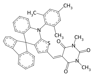 Cc1cc(C)c(N2c3ccccc3C3(c4ccccc4-c4ccccc43)c3cc(C=C4C(=O)N(C)C(=O)N(C)C4=O)sc32)c(C)c1